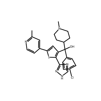 Cc1cc(-c2cc(C(O)(c3ccc(Cl)cc3)C3CCN(C)CC3)c(-c3nc[nH]n3)s2)ccn1